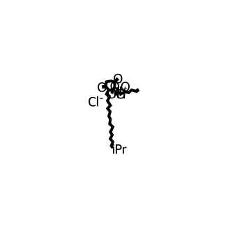 C=CCCC(=O)O[N+](C)(C)C1(O)OC(=O)CCC(=O)C1C=CCCCCCCCCCCCCCC(C)C.[Cl-]